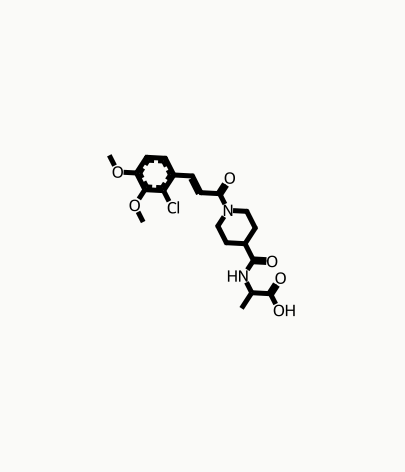 COc1ccc(C=CC(=O)N2CCC(C(=O)NC(C)C(=O)O)CC2)c(Cl)c1OC